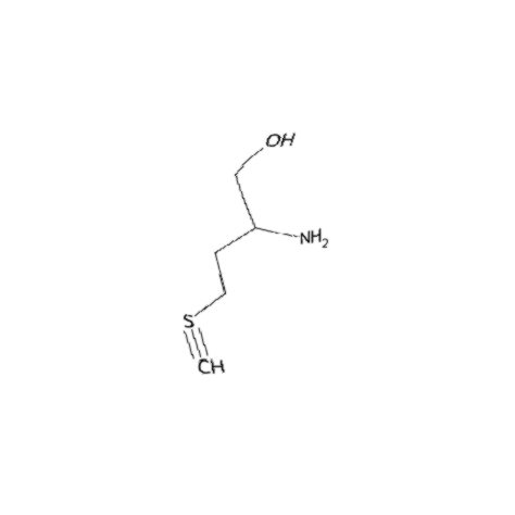 C#SCCC(N)CO